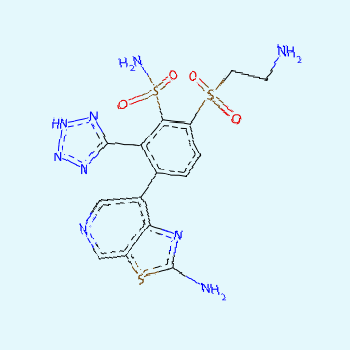 NCCS(=O)(=O)c1ccc(-c2cncc3sc(N)nc23)c(-c2nn[nH]n2)c1S(N)(=O)=O